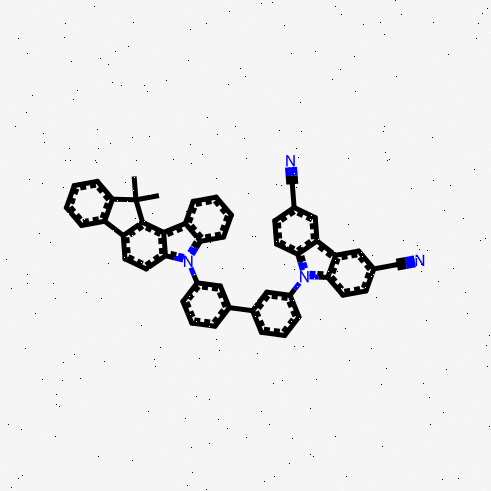 CC1(C)c2ccccc2-c2ccc3c(c21)c1ccccc1n3-c1cccc(-c2cccc(-n3c4ccc(C#N)cc4c4cc(C#N)ccc43)c2)c1